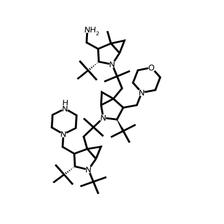 CC12CC1N(C(C)(C)CC13CC1N(C(C)(C)CC14CC1N(C(C)(C)C)[C@H](C(C)(C)C)C4CN1CCNCC1)[C@H](C(C)(C)C)C3CN1CCOCC1)[C@H](C(C)(C)C)C2CN